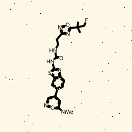 CNc1cncc(-c2ccc3nc(NC(=O)NCCc4noc(C(C)(C)CF)n4)sc3c2)c1